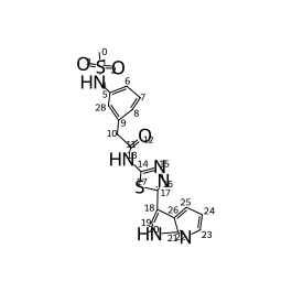 CS(=O)(=O)Nc1cccc(CC(=O)Nc2nnc(-c3c[nH]c4ncccc34)s2)c1